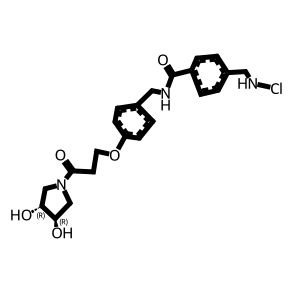 O=C(NCc1ccc(OCCC(=O)N2C[C@@H](O)[C@H](O)C2)cc1)c1ccc(CNCl)cc1